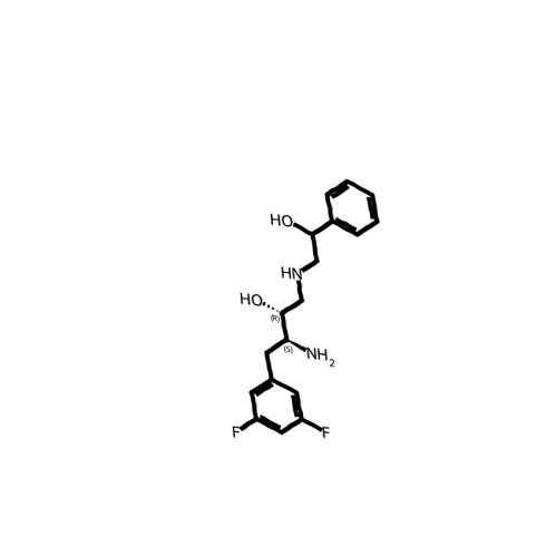 N[C@@H](Cc1cc(F)cc(F)c1)[C@H](O)CNCC(O)c1ccccc1